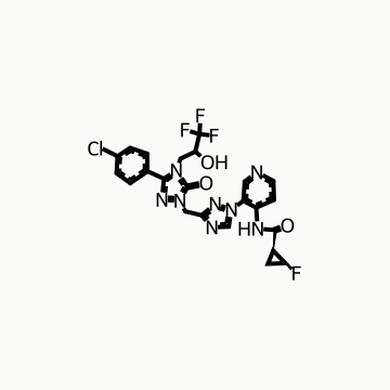 O=C(Nc1ccncc1-n1cnc(Cn2nc(-c3ccc(Cl)cc3)n(CC(O)C(F)(F)F)c2=O)n1)[C@@H]1C[C@@H]1F